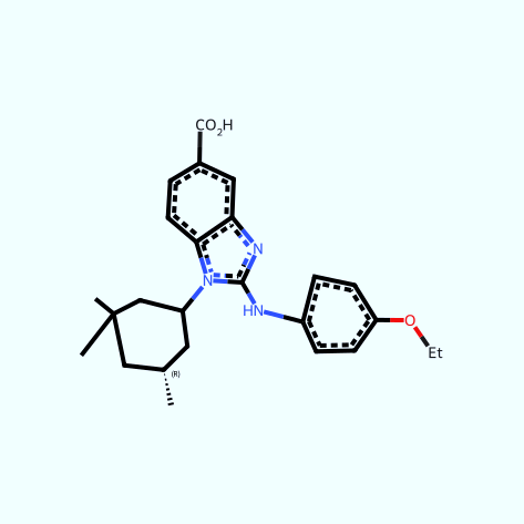 CCOc1ccc(Nc2nc3cc(C(=O)O)ccc3n2C2C[C@H](C)CC(C)(C)C2)cc1